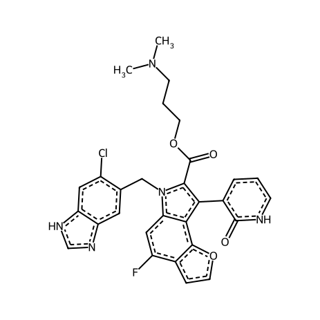 CN(C)CCCOC(=O)c1c(-c2ccc[nH]c2=O)c2c3occc3c(F)cc2n1Cc1cc2nc[nH]c2cc1Cl